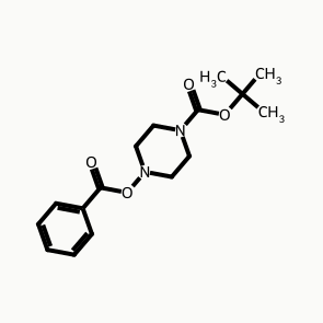 CC(C)(C)OC(=O)N1CCN(OC(=O)c2ccccc2)CC1